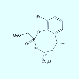 CCOC(=O)[C@H]1CC(C)c2cccc(C(C)C)c2OP(=O)(COC)N1